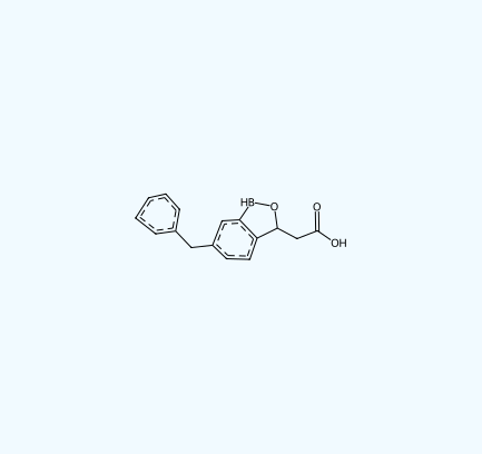 O=C(O)CC1OBc2cc(Cc3ccccc3)ccc21